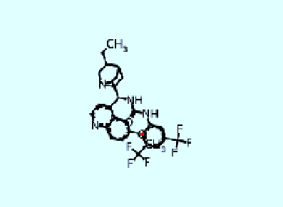 CCC1CN2CCC1CC2[C@@H](NC(=O)Nc1cc(C(F)(F)F)cc(C(F)(F)F)c1)c1ccnc2ccc(OC)cc12